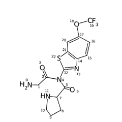 NCC(=O)N(C(=O)C1CCCN1)c1nc2ccc(OC(F)(F)F)cc2s1